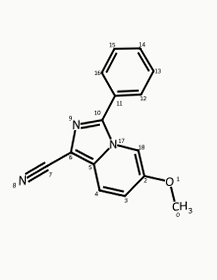 COc1ccc2c(C#N)nc(-c3ccccc3)n2c1